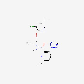 CCN(C(=O)c1nc(C)ccc1-n1nccn1)[C@@H](C)COc1ncc(C(F)(F)F)cc1F